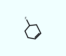 F[C]1CC=CCC1